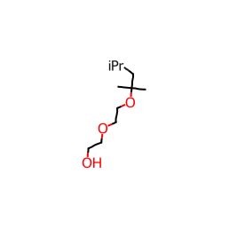 CC(C)CC(C)(C)OCCOCCO